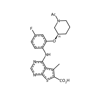 CC(=O)N1CCC[C@@H](Oc2cc(F)ccc2Nc2ncnc3sc(C(=O)O)c(C)c23)C1